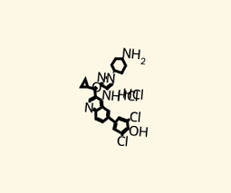 Cl.Cl.N[C@H]1CC[C@H](n2cc(Nc3c(C(=O)C4CC4)cnc4ccc(-c5cc(Cl)c(O)c(Cl)c5)cc34)cn2)CC1